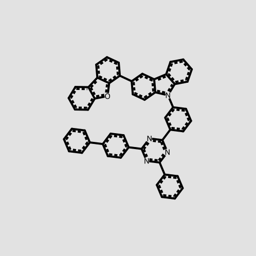 c1ccc(-c2ccc(-c3nc(-c4ccccc4)nc(-c4cccc(-n5c6ccccc6c6cc(-c7cccc8c7oc7ccccc78)ccc65)c4)n3)cc2)cc1